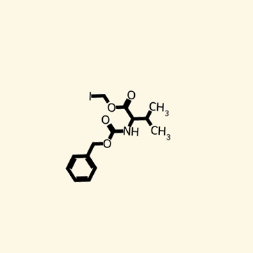 CC(C)C(NC(=O)OCc1ccccc1)C(=O)OCI